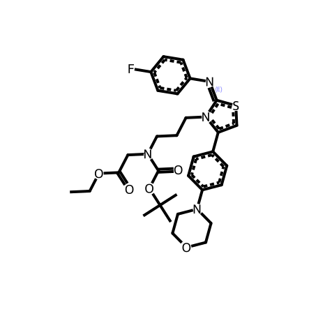 CCOC(=O)CN(CCCn1c(-c2ccc(N3CCOCC3)cc2)cs/c1=N/c1ccc(F)cc1)C(=O)OC(C)(C)C